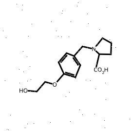 O=C(O)C1CCCN1Cc1ccc(OCCO)cc1